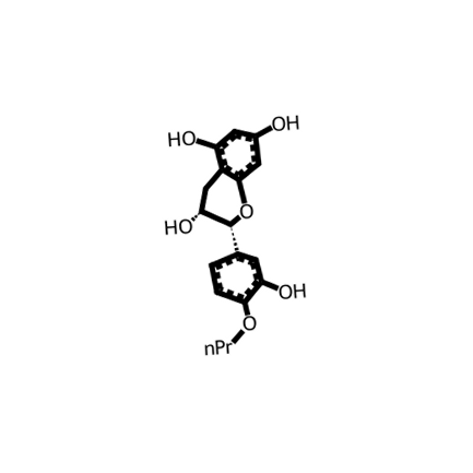 CCCOc1ccc([C@H]2Oc3cc(O)cc(O)c3C[C@H]2O)cc1O